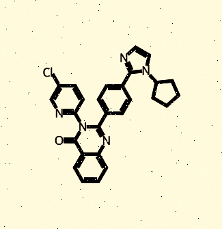 O=c1c2ccccc2nc(-c2ccc(-c3nccn3C3CCCC3)cc2)n1-c1ccc(Cl)cn1